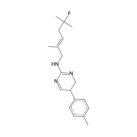 C/C(=C\CC(C)(C)F)CNC1=NCC(c2ccc(C)cc2)C=N1